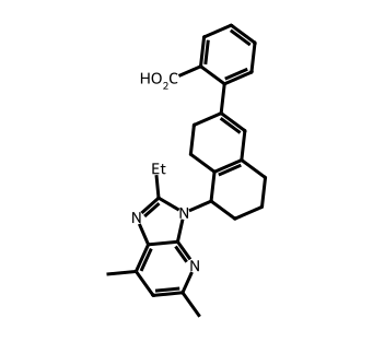 CCc1nc2c(C)cc(C)nc2n1C1CCCC2=C1CCC(c1ccccc1C(=O)O)=C2